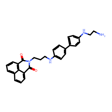 NCCNc1ccc(-c2ccc(NCCCN3C(=O)c4cccc5cccc(c45)C3=O)cc2)cc1